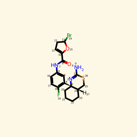 NC1=N[C@@]2(c3cc(NC(=O)C4=CCC(Br)O4)ccc3F)CCCC[C@H]2CS1